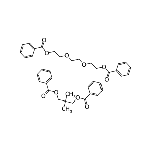 CC(C)(COC(=O)c1ccccc1)COC(=O)c1ccccc1.O=C(OCCOCCOCCOC(=O)c1ccccc1)c1ccccc1